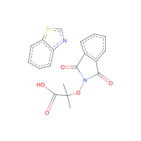 CC(C)(ON1C(=O)c2ccccc2C1=O)C(=O)O.c1ccc2scnc2c1